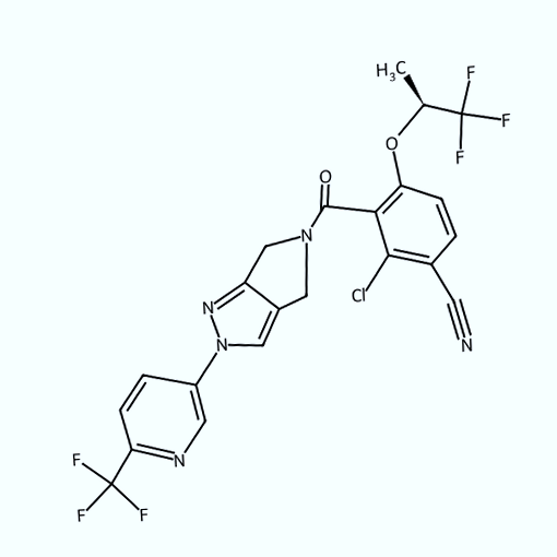 C[C@H](Oc1ccc(C#N)c(Cl)c1C(=O)N1Cc2cn(-c3ccc(C(F)(F)F)nc3)nc2C1)C(F)(F)F